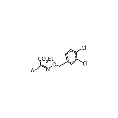 CCOC(=O)/C(=N\OCc1ccc(Cl)c(Cl)c1)C(C)=O